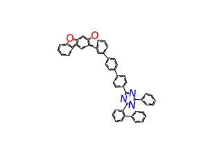 c1ccc(-c2nc(-c3ccc(-c4ccc(-c5ccc6oc7cc8oc9ccccc9c8cc7c6c5)cc4)cc3)nc(-c3ccccc3-c3ccccc3)n2)cc1